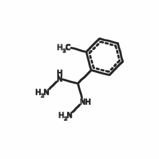 Cc1ccccc1C(NN)NN